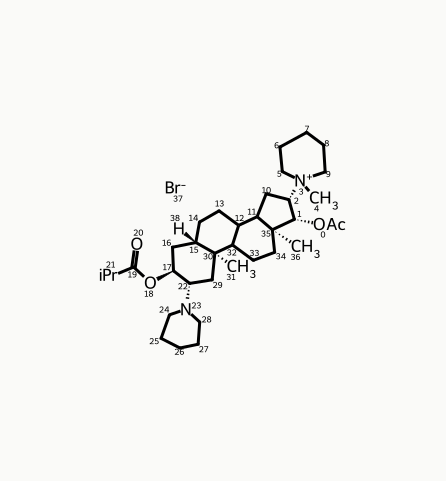 CC(=O)O[C@H]1[C@@H]([N+]2(C)CCCCC2)CC2C3CC[C@H]4C[C@H](OC(=O)C(C)C)[C@@H](N5CCCCC5)C[C@]4(C)C3CC[C@@]21C.[Br-]